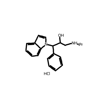 CC(C)NCC(O)C(c1ccccc1)n1ccc2ccccc21.Cl